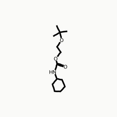 CC(C)(C)OCCOC(=O)NC1CCCCC1